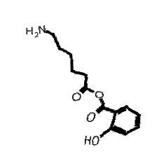 NCCCCCC(=O)OC(=O)c1ccccc1O